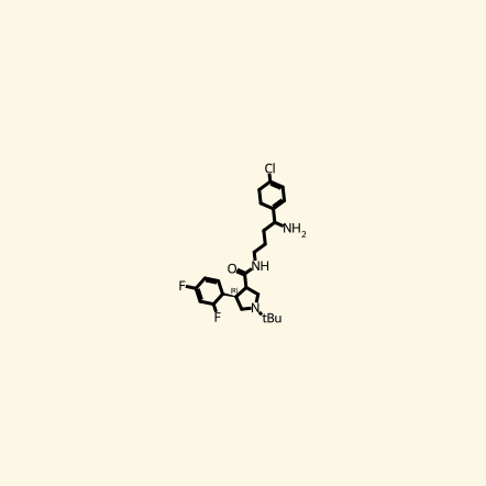 CC(C)(C)N1CC(C(=O)NCCCC(N)C2=CC=C(Cl)CC2)[C@H](C2C=CC(F)=CC2F)C1